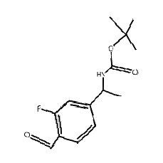 CC(NC(=O)OC(C)(C)C)c1ccc(C=O)c(F)c1